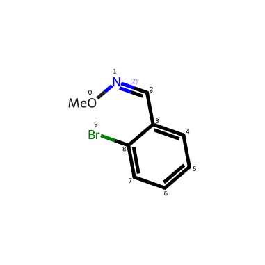 CO/N=[C]\c1ccccc1Br